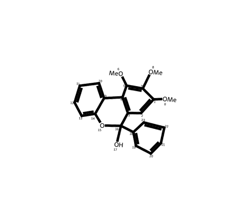 COc1cc2c(c(OC)c1OC)-c1ccccc1OC2(O)c1ccccc1